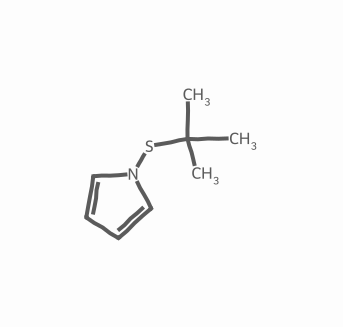 CC(C)(C)Sn1cccc1